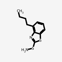 CCCCc1cccc2sc(SN)nc12